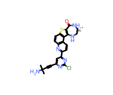 C[C@@H]1CNc2c(sc3ccc4nc(-c5cc(C#CC(C)(C)N)nc(Cl)n5)ccc4c23)C(=O)N1